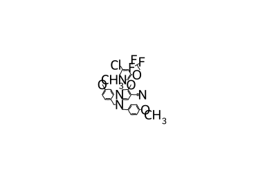 COc1ccc(CN(Cc2ccc(OC)cc2)c2cc(C#N)c(Oc3ncc(Cl)cc3OCC(F)(F)F)cn2)cc1